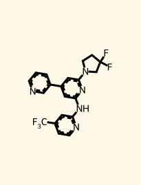 FC1(F)CCN(c2cc(-c3cccnc3)cc(Nc3cc(C(F)(F)F)ccn3)n2)C1